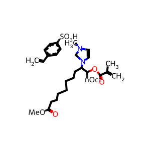 C=C(C)C(=O)OC(CCCCCCCC)C(CCCCCCCC(=O)OC)N1C=CN(C)C1.C=Cc1ccc(S(=O)(=O)O)cc1